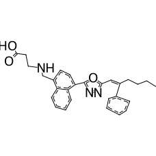 CCCCC(=Cc1nnc(-c2ccc(CNCCC(=O)O)c3ccccc23)o1)c1ccccc1